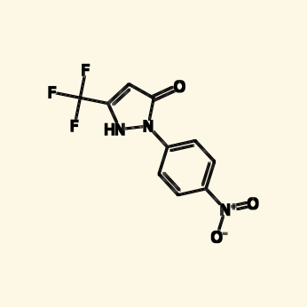 O=c1cc(C(F)(F)F)[nH]n1-c1ccc([N+](=O)[O-])cc1